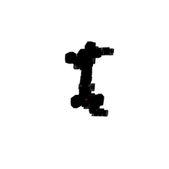 CN[C@@H](C)C(=O)N[C@H](C(=O)N1CCC[C@H]1CN(CCc1ccccc1)C(=O)[C@H](C)NC(=O)c1ccc(-c2ccc(C(=O)N[C@@H](C)C(=O)N(CCc3ccccc3)C[C@@H]3CCCN3C(=O)[C@@H](NC(=O)[C@H](C)NC)C3CCCCC3)cc2)cc1)C1CCCCC1